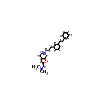 CN(C)Cc1cc2c(o1)CN(CCCc1cccc(CCc3ccccc3)c1)CC2